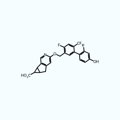 O=C(O)C1C2Cc3cc(OCc4cc(-c5ccc(O)cc5F)c(C(F)(F)F)cc4F)ncc3C21